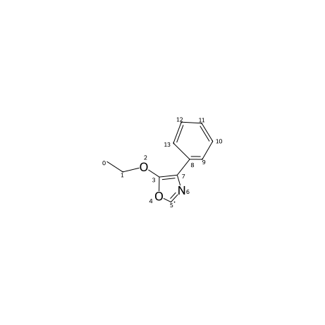 CCOc1o[c]nc1-c1ccccc1